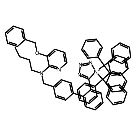 CCCCN(Cc1ccc(-c2ccccc2C2=NN=N[N+]2(C(c2ccccc2)(c2ccccc2)c2ccccc2)C(c2ccccc2)(c2ccccc2)c2ccccc2)cc1)c1ncccc1OCc1ccccc1